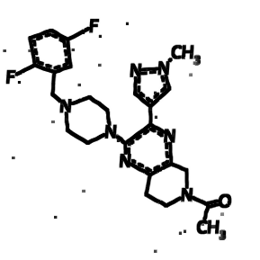 CC(=O)N1CCc2nc(N3CCN(Cc4cc(F)ccc4F)CC3)c(-c3cnn(C)c3)nc2C1